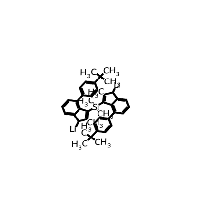 [Li][CH]1C(C)=C([Si](C)(C)C2=C(C)[CH]([Li])c3cccc(-c4ccc(C(C)(C)C)cc4)c32)c2c(-c3ccc(C(C)(C)C)cc3)cccc21